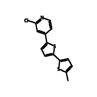 Cc1ccc(-c2ccc(-c3ccnc(Cl)c3)s2)s1